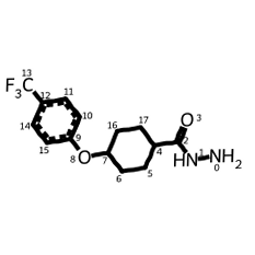 NNC(=O)C1CCC(Oc2ccc(C(F)(F)F)cc2)CC1